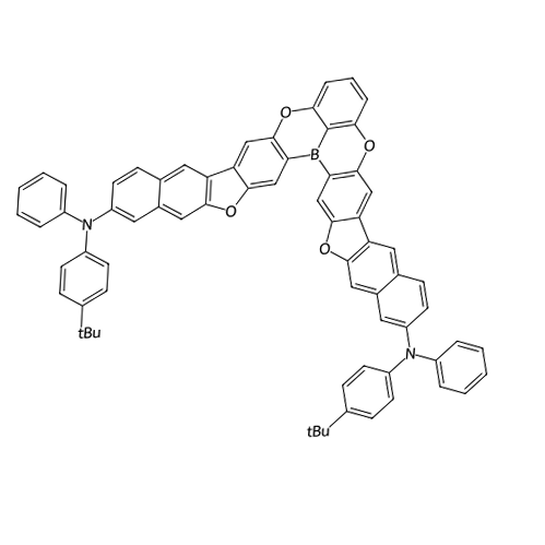 CC(C)(C)c1ccc(N(c2ccccc2)c2ccc3cc4c(cc3c2)oc2cc3c(cc24)Oc2cccc4c2B3c2cc3oc5cc6cc(N(c7ccccc7)c7ccc(C(C)(C)C)cc7)ccc6cc5c3cc2O4)cc1